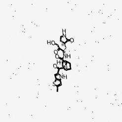 Cc1cc2[nH]c(C(=O)N3C4CCC(CC4)[C@@H]3C(=O)N[C@@H](C[C@H]3CCNC3=O)C(=O)CO)cc2s1